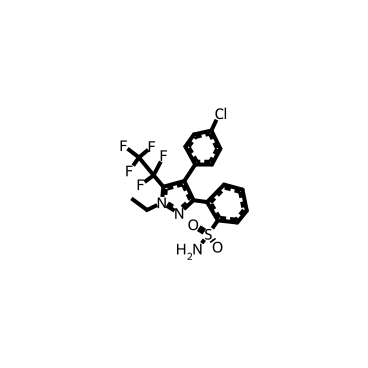 CCn1nc(-c2ccccc2S(N)(=O)=O)c(-c2ccc(Cl)cc2)c1C(F)(F)C(F)(F)F